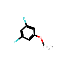 CCOC(=O)Oc1cc(F)cc(F)c1